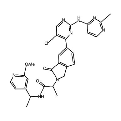 COc1cc(C(C)NC(=O)C(C)N2Cc3ccc(-c4nc(Nc5ccnc(C)n5)ncc4Cl)cc3C2=O)ccn1